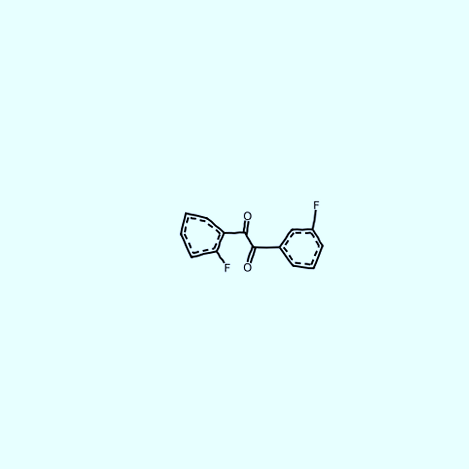 O=C(C(=O)c1ccccc1F)c1cccc(F)c1